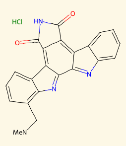 CNCc1cccc2c1nc1c3nc4ccccc4c3c3c(=O)[nH]c(=O)c3c21.Cl